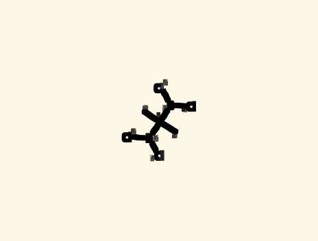 CC(C)(B(Cl)Cl)B(Cl)Cl